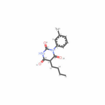 [3H]c1cccc(N2C(=O)NC(=O)C(CCCC)C2=O)c1